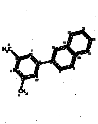 Cc1nc(C)nc(-c2ccc3ccccc3c2)n1